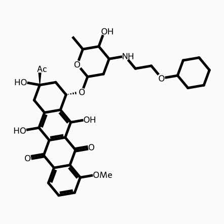 COc1cccc2c1C(=O)c1c(O)c3c(c(O)c1C2=O)C[C@@](O)(C(C)=O)C[C@@H]3OC1CC(NCCOC2CCCCC2)C(O)C(C)O1